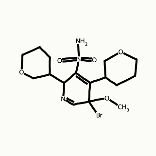 COC1(Br)C=NC(C2CCCOC2)C(S(N)(=O)=O)=C1C1CCCOC1